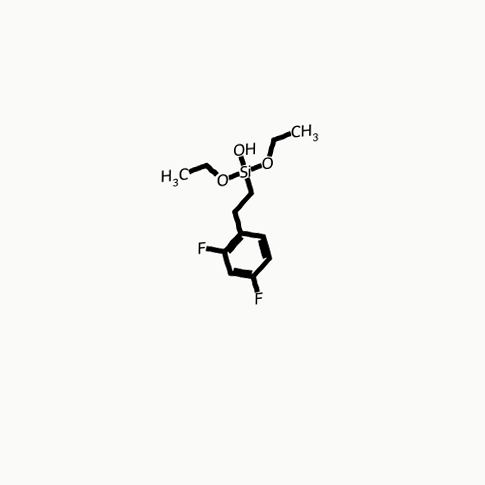 CCO[Si](O)(CCc1ccc(F)cc1F)OCC